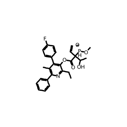 C=CC(C(=O)Oc1c(CC)nc(-c2ccccc2)c(C)c1-c1ccc(F)cc1)(C(C)O)[PH](=O)OC